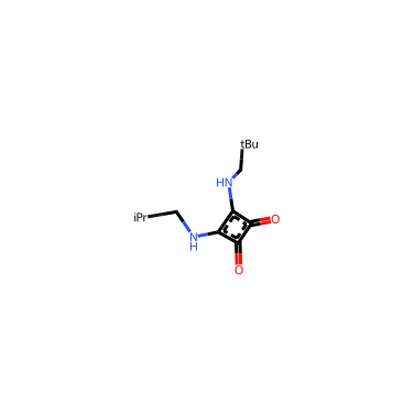 CC(C)CNc1c(NCC(C)(C)C)c(=O)c1=O